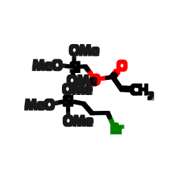 C=CC(=O)OC[Si](OC)(OC)OC.CO[Si](CCCBr)(OC)OC